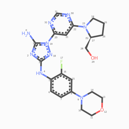 Nc1nc(Nc2ccc(N3CCOCC3)cc2F)nn1-c1cc(N2CCC[C@H]2CO)ncn1